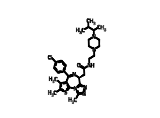 Cc1sc2c(c1C)C(c1ccc(Cl)cc1)=N[C@@H](CC(=O)NCCN1CCN(C(C)C(C)C)CC1)c1nnc(C)n1-2